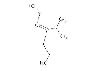 CCC/C(=N/CO)C(C)C